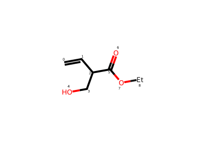 C=CC(CO)C(=O)OCC